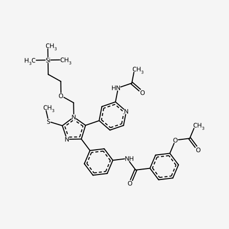 CSc1nc(-c2cccc(NC(=O)c3cccc(OC(C)=O)c3)c2)c(-c2ccnc(NC(C)=O)c2)n1COCC[Si](C)(C)C